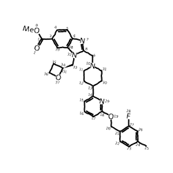 COC(=O)c1ccc2nc(CN3CCC(c4cccc(OCc5ccc(C)cc5F)n4)CC3)n(C[C@@H]3CCO3)c2c1